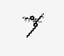 CCCCCCCCCc1ccc(C(C(O)CCCC(=O)OC)S(=O)(=O)c2cccc(NCC(=O)OC)c2)cc1